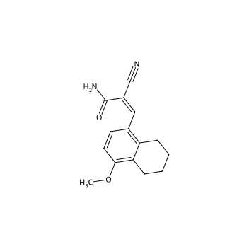 COc1ccc(C=C(C#N)C(N)=O)c2c1CCCC2